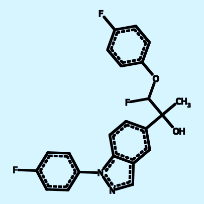 CC(O)(c1ccc2c(cnn2-c2ccc(F)cc2)c1)C(F)Oc1ccc(F)cc1